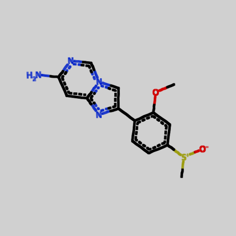 COc1cc([S+](C)[O-])ccc1-c1cn2cnc(N)cc2n1